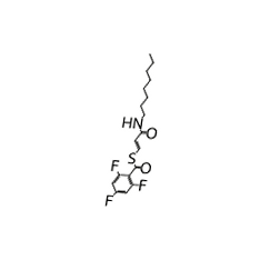 CCCCCCCCNC(=O)C=CSC(=O)c1c(F)cc(F)cc1F